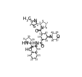 Cc1csc(C2CCCN2C(=O)c2cc(C(=O)N[C@@H](Cc3ccccc3)[C@H](O)C3CCCN3)cc(N3CCOCC3)c2)n1